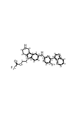 O=C(OCCn1c2c(c3cc(Nc4ncc(F)c(-c5cnc6cccnn56)n4)ccc31)CNCC2)C(F)(F)F